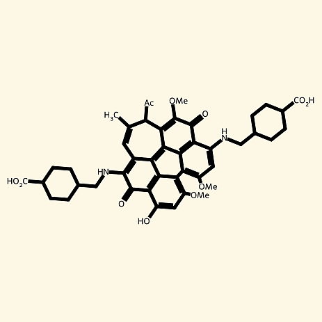 COc1c2c3c4c(c(NCC5CCC(C(=O)O)CC5)c(=O)c5c(O)cc(OC)c(c6c(OC)cc(NCC7CCC(C(=O)O)CC7)c(c1=O)c63)c54)C=C(C)C2C(C)=O